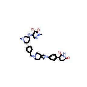 CN1C[C@H](Nc2cnn(C)c(=O)c2Br)C[C@H](c2ccc(CN3CCC4(CC3)CN(c3ccc(C5CCC(=O)NC5=O)cc3)C4)cc2)C1